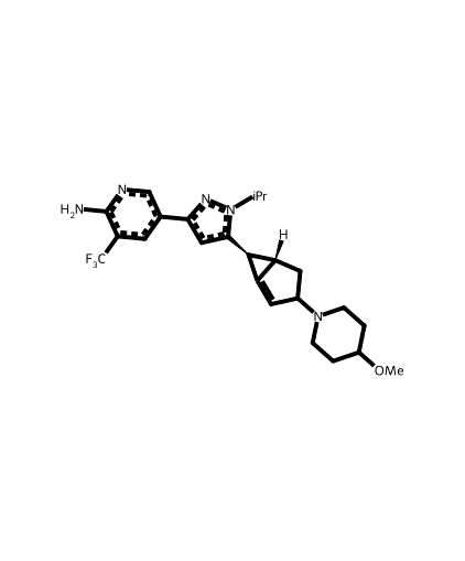 COC1CCN(C2C=C3[C@@H](C2)[C@@H]3c2cc(-c3cnc(N)c(C(F)(F)F)c3)nn2C(C)C)CC1